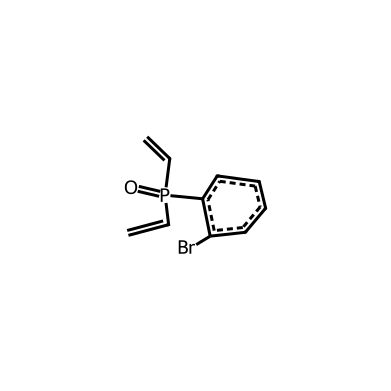 C=CP(=O)(C=C)c1ccccc1Br